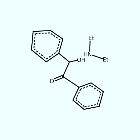 CCNCC.O=C(c1ccccc1)C(O)c1ccccc1